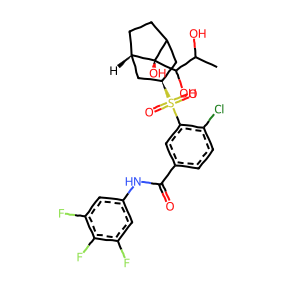 CC(O)C(O)[C@@]1(O)C2CC[C@H]1C[C@H](S(=O)(=O)c1cc(C(=O)Nc3cc(F)c(F)c(F)c3)ccc1Cl)C2